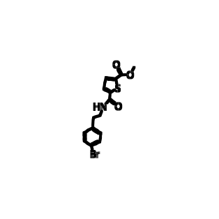 COC(=O)c1ccc(C(=O)NCCc2ccc(Br)cc2)s1